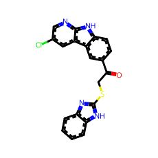 O=C(CSc1nc2ccccc2[nH]1)c1ccc2[nH]c3ncc(Cl)cc3c2c1